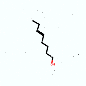 [CH2]CC=CCCCCO